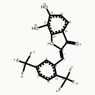 O=C1/C(=C/c2cc(C(F)(F)F)ccc2C(F)(F)F)Oc2c1ccc(O)c2O